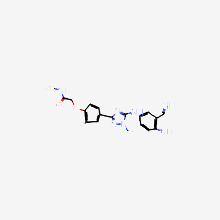 CC(C)NC(=O)COc1ccc(-c2nc(Nc3ccc(N)c(C=N)c3)n(C)n2)cc1F